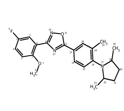 COc1ccc(F)cc1-c1noc(-c2ccc(N3C(C)CCC3C)c(C)c2)n1